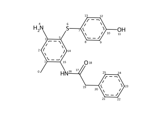 Cc1cc(N)c(Sc2ccc(O)cc2)cc1NC(=O)Cc1ccccc1